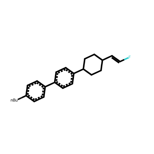 CCCCc1ccc(-c2ccc(C3CCC(/C=C/F)CC3)cc2)cc1